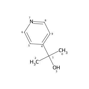 CC(C)(O)c1ccncc1